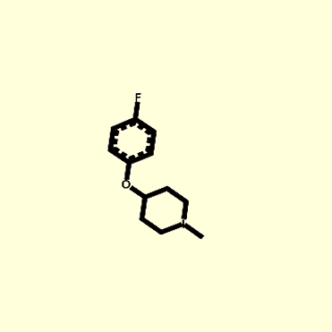 CI1CCC(Oc2ccc(F)cc2)CC1